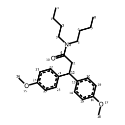 CCCCN(CCCC)C(=O)CC(c1ccc(OC)cc1)c1ccc(OC)cc1